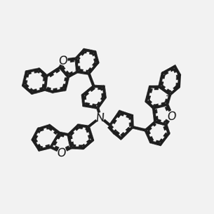 c1ccc2c(c1)ccc1c2oc2cccc(-c3ccc(N(c4ccc(-c5cccc6oc7c8ccccc8ccc7c56)cc4)c4ccc5oc6ccccc6c5c4)cc3)c21